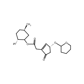 CC(C)[C@@H]1CC[C@@H](C)CC1OC(=O)CC1=C[C@H](OC2CCCCO2)CC1=O